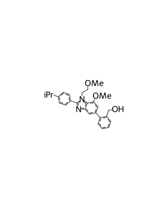 COCCn1c(-c2ccc(C(C)C)cc2)nc2cc(-c3ccccc3CO)cc(OC)c21